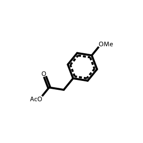 [CH2]C(=O)OC(=O)Cc1ccc(OC)cc1